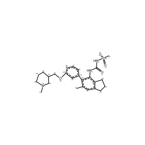 Cc1cc2c(c(NC(=O)NS(C)(=O)=O)c1-c1ccnc(OCC3CCCN(C)C3)c1)CCC2